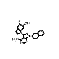 Nc1ncnc2c1c(-n1ccc3cc(F)c(O)cc31)nn2C1CCc2ccccc2C1